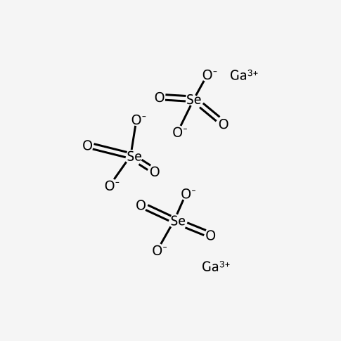 O=[Se](=O)([O-])[O-].O=[Se](=O)([O-])[O-].O=[Se](=O)([O-])[O-].[Ga+3].[Ga+3]